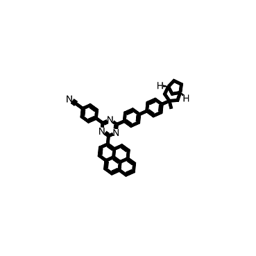 CC1(c2ccc(-c3ccc(-c4nc(-c5ccc(C#N)cc5)nc(-c5ccc6ccc7cccc8ccc5c6c78)n4)cc3)cc2)C[C@@H]2CC[C@@H](C2)C1